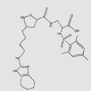 Cc1cc(C)c(S(=O)(=O)NC(CNC(=O)C2CC(CCCCNc3nc4c([nH]3)CCCC4)NO2)C(=O)O)c(C)c1